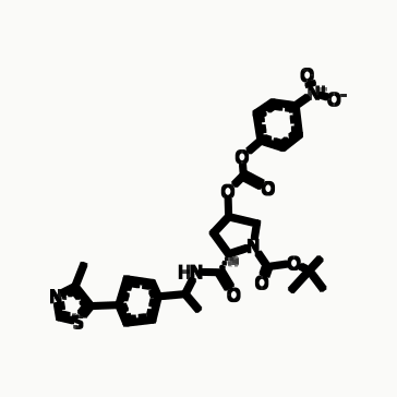 Cc1ncsc1-c1ccc(C(C)NC(=O)[C@@H]2CC(OC(=O)Oc3ccc([N+](=O)[O-])cc3)CN2C(=O)OC(C)(C)C)cc1